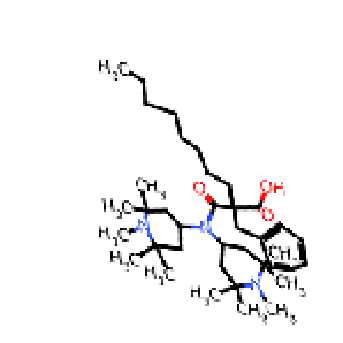 CCCCCCCCC(Cc1ccccc1)(C(=O)O)C(=O)N(C1CC(C)(C)N(C)C(C)(C)C1)C1CC(C)(C)N(C)C(C)(C)C1